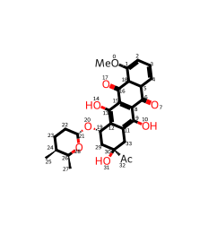 COC1=CC=CC2C(=O)c3c(O)c4c(c(O)c3C(=O)C12)[C@@H](O[C@H]1CC[C@H](C)[C@H](C)O1)C[C@](O)(C(C)=O)C4